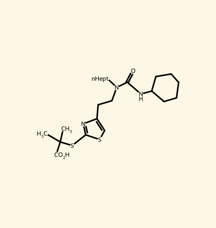 CCCCCCCN(CCc1csc(SC(C)(C)C(=O)O)n1)C(=O)NC1CCCCC1